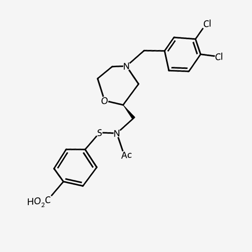 CC(=O)N(C[C@@H]1CN(Cc2ccc(Cl)c(Cl)c2)CCO1)Sc1ccc(C(=O)O)cc1